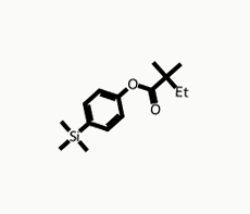 CCC(C)(C)C(=O)Oc1ccc([Si](C)(C)C)cc1